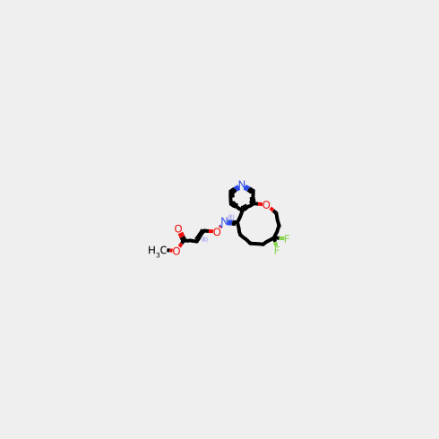 COC(=O)/C=C/O/N=C1\CCCC(F)(F)CCOc2cnccc21